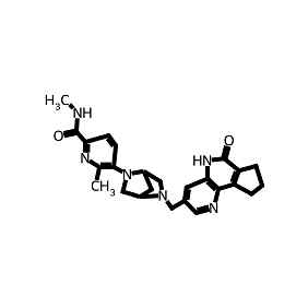 CNC(=O)c1ccc(N2CC3CC2CN3Cc2cnc3c4c(c(=O)[nH]c3c2)CCC4)c(C)n1